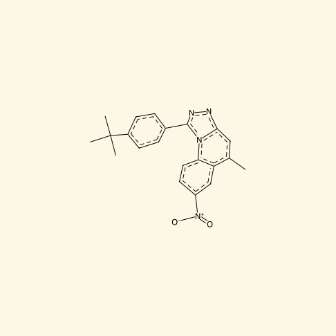 Cc1cc2nnc(-c3ccc(C(C)(C)C)cc3)n2c2ccc([N+](=O)[O-])cc12